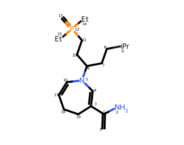 C=C(N)C1=CN(C(CCC(C)C)CCP(=C)(CC)CC)C=CCC1